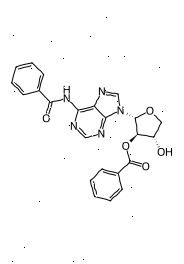 O=C(Nc1ncnc2c1ncn2[C@@H]1OC[C@H](O)[C@H]1OC(=O)c1ccccc1)c1ccccc1